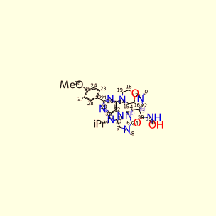 C=N/C=C(\C=N/CN(C)Cc1nc2c(N3CCOCC3)nc(-c3ccc(OC)cc3)nc2n1C(C)C)C(=O)NO